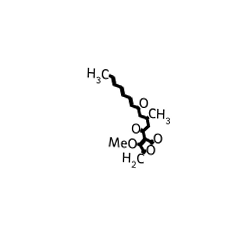 C=C1OC(=O)C(C(=O)CC(C)CC(=O)/C=C/C=C/C=C/C)=C1OC